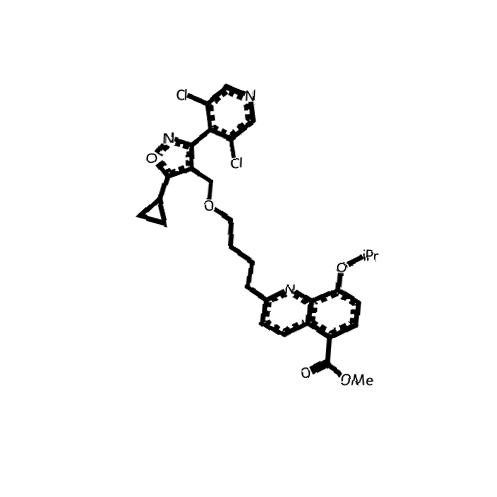 COC(=O)c1ccc(OC(C)C)c2nc(CCCCOCc3c(-c4c(Cl)cncc4Cl)noc3C3CC3)ccc12